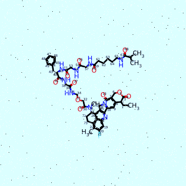 CCC1C(=O)OCc2c1cc1n(c2=O)Cc2c-1nc1cc(F)c(C)c3c1c2[C@@H](N(C)C(=O)COCNC(=O)CNC(=O)[C@H](Cc1ccccc1)NC(=O)CNC(=O)CNC(=O)CCCCCNC(=O)C(C)C)CC3